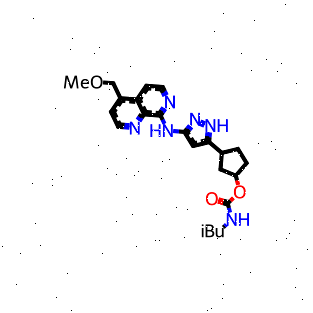 CCC(C)NC(=O)OC1CCC(c2cc(Nc3nccc4c(COC)ccnc34)n[nH]2)C1